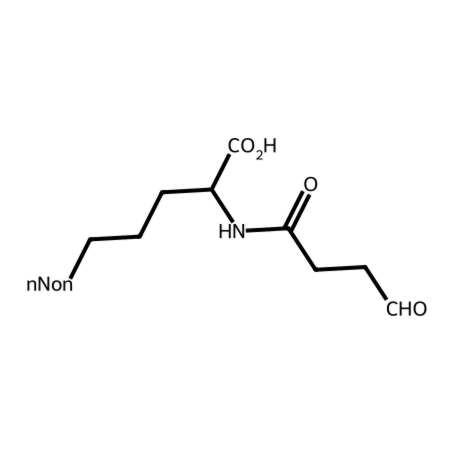 CCCCCCCCCCCCC(NC(=O)CCC=O)C(=O)O